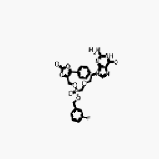 Nc1nc2c(ncn2CCOCP(=O)(OCc2cccc(F)c2)OCc2oc(=O)oc2-c2ccccc2)c(=O)[nH]1